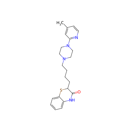 Cc1ccnc(N2CCN(CCCCC3Sc4ccccc4NC3=O)CC2)c1